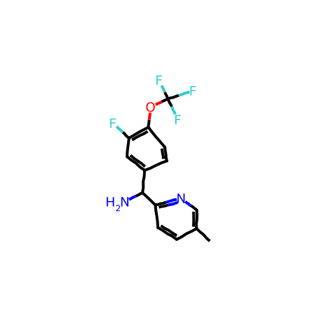 Cc1ccc(C(N)c2ccc(OC(F)(F)F)c(F)c2)nc1